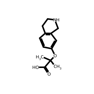 CC(C)(Oc1ccc2c(c1)CNCC2)C(=O)O